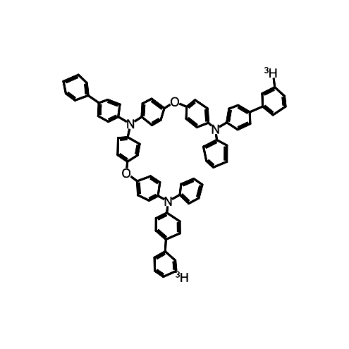 [3H]c1cccc(-c2ccc(N(c3ccccc3)c3ccc(Oc4ccc(N(c5ccc(Oc6ccc(N(c7ccccc7)c7ccc(-c8cccc([3H])c8)cc7)cc6)cc5)c5ccc(-c6ccccc6)cc5)cc4)cc3)cc2)c1